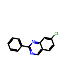 Clc1ccc2cnc(-c3ccccc3)nc2c1